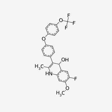 COc1cc2c(cc1F)C(O)C(c1ccc(Oc3ccc(OC(F)(F)F)cc3)cc1)=C(C)N2